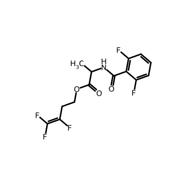 CC(NC(=O)c1c(F)cccc1F)C(=O)OCCC(F)=C(F)F